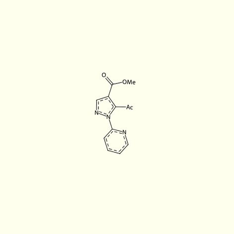 COC(=O)c1cnn(-c2ccccn2)c1C(C)=O